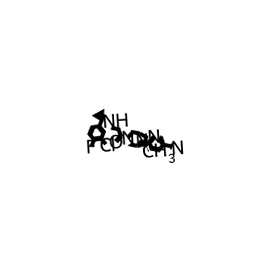 C[C@H]1CC2CN(C(=O)CCNC3(c4ccc(F)c(Cl)c4)CC3)CC1N2c1ccc(C#N)cn1